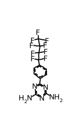 Nc1nc(N)nc(-c2ccc(C(F)(F)C(F)(F)C(F)(F)C(F)(F)F)cc2)n1